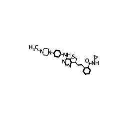 CCN1CCN(c2ccc(Nc3ncnc4c3SCC4/C=C/c3ccccc3C(=O)NC3CC3)cc2)CC1